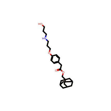 O=C(Cc1ccc(OCCCNCCCO)cc1)OCC12CC3CC(CC(C3)C1)C2